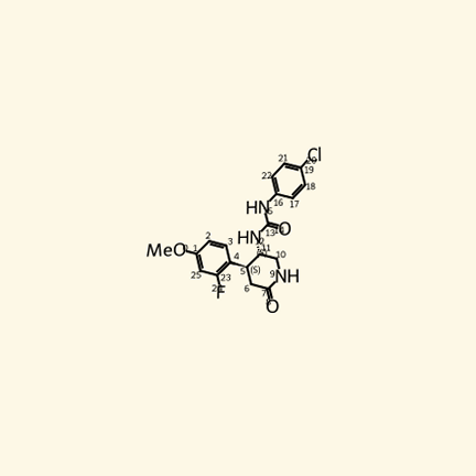 COc1ccc([C@@H]2CC(=O)NC[C@H]2NC(=O)Nc2ccc(Cl)cc2)c(F)c1